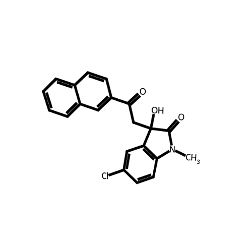 CN1C(=O)C(O)(CC(=O)c2ccc3ccccc3c2)c2cc(Cl)ccc21